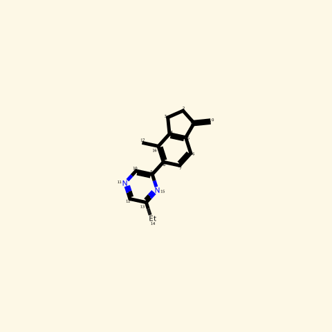 C=C1CCc2c1ccc(-c1cncc(CC)n1)c2C